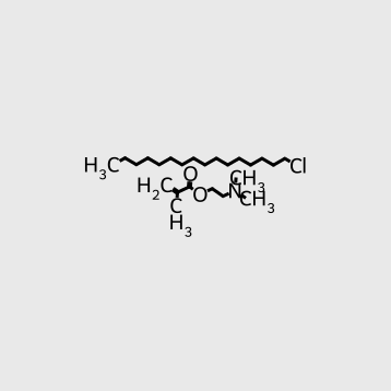 C=C(C)C(=O)OCCN(C)C.CCCCCCCCCCCCCCCCCl